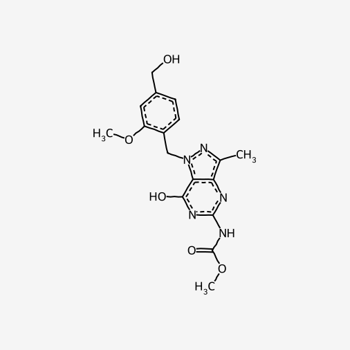 COC(=O)Nc1nc(O)c2c(n1)c(C)nn2Cc1ccc(CO)cc1OC